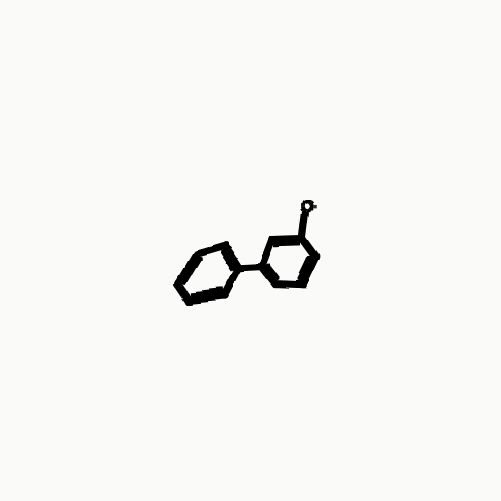 [O]c1cccc(-c2ccccc2)c1